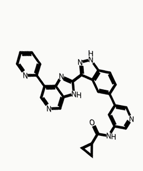 O=C(Nc1cncc(-c2ccc3[nH]nc(-c4nc5c(-c6ccccn6)cncc5[nH]4)c3c2)c1)C1CC1